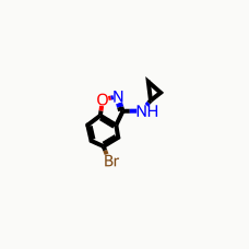 Brc1ccc2onc(NC3CC3)c2c1